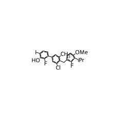 COc1ccc(Cc2c(C)cc(-c3ccc(I)c(O)c3F)cc2Cl)c(F)c1C(C)C